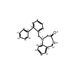 O=C1CN(Cc2ccccc2-c2ccccc2)c2ccccc2C=N1